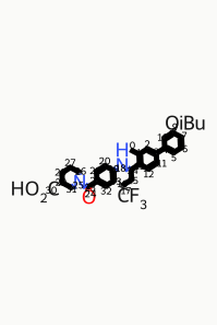 Cc1cc(-c2cccc(OCC(C)C)c2)ccc1C(CCC(F)(F)F)Nc1ccc(C(=O)N2CCC[C@@H](C(=O)O)C2)cc1